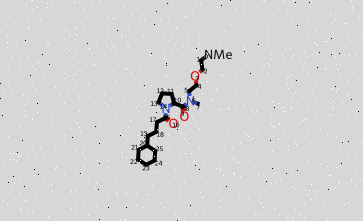 CNCCOCCN(C)C(=O)C1CCCN1C(=O)CCCC1CCCCC1